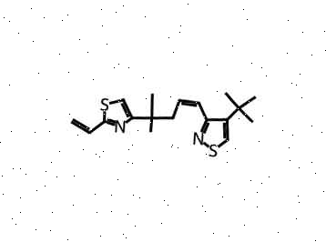 C=Cc1nc(C(C)(C)C/C=C\c2nscc2C(C)(C)C)cs1